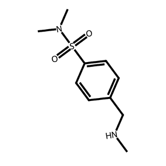 CNCc1ccc(S(=O)(=O)N(C)C)cc1